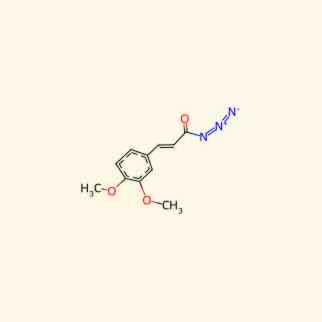 COc1ccc(C=CC(=O)N=[N+]=[N-])cc1OC